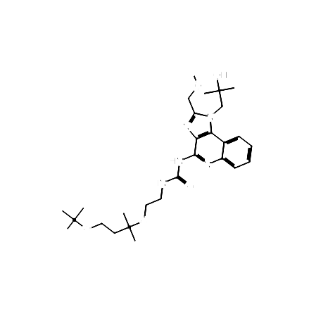 CCOCc1nc2c(NC(=O)NCCOC(C)(C)CCOC(C)(C)CC)nc3ccccc3c2n1CC(C)(C)O